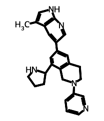 Cc1c[nH]c2ncc(-c3cc4c(c(C5CCCN5)c3)CN(c3cccnc3)CC4)cc12